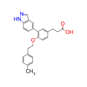 Cc1ccc(CCOc2ccc(CCC(=O)O)cc2-c2ccc3[nH]ncc3c2)cc1